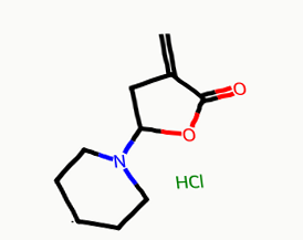 C=C1CC(N2CC[CH]CC2)OC1=O.Cl